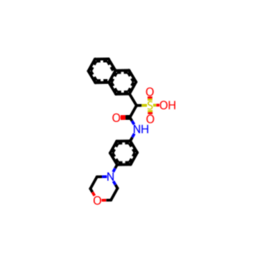 O=C(Nc1ccc(N2CCOCC2)cc1)C(c1ccc2ccccc2c1)S(=O)(=O)O